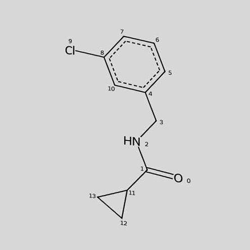 O=C(NCc1cccc(Cl)c1)C1CC1